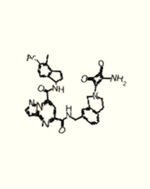 CC(=O)c1ccc2c(c1C)CC[C@@H]2NC(=O)c1cc(C(=O)NCc2ccc3c(c2)CN(c2c(N)c(=O)c2=O)CC3)nc2ccnn12